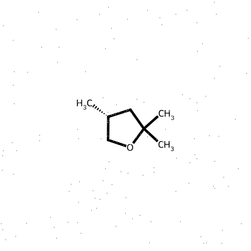 C[C@H]1COC(C)(C)C1